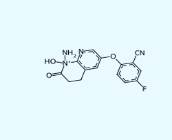 N#Cc1cc(F)ccc1Oc1cnc2c(c1)CCC(=O)[N+]2(N)O